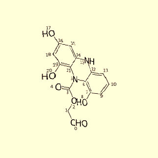 O=CCOC(=O)N1c2c(O)cccc2Nc2cc(O)cc(O)c21